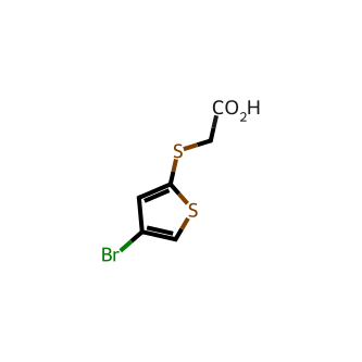 O=C(O)CSc1cc(Br)cs1